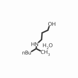 CCCCC(C)NCCCO.O